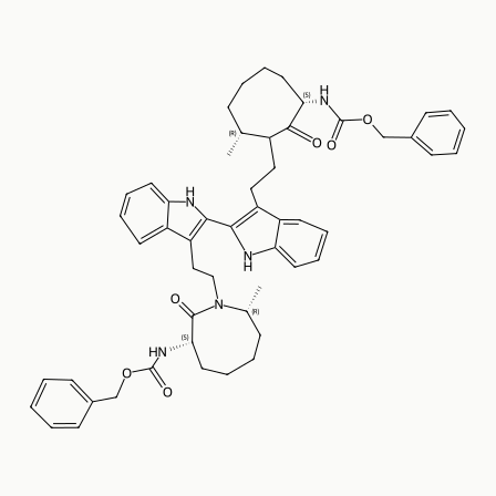 C[C@@H]1CCCC[C@H](NC(=O)OCc2ccccc2)C(=O)C1CCc1c(-c2[nH]c3ccccc3c2CCN2C(=O)[C@@H](NC(=O)OCc3ccccc3)CCCC[C@H]2C)[nH]c2ccccc12